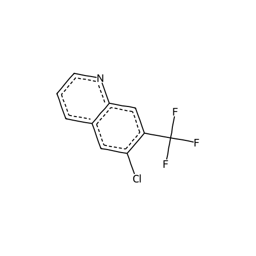 FC(F)(F)c1cc2ncccc2cc1Cl